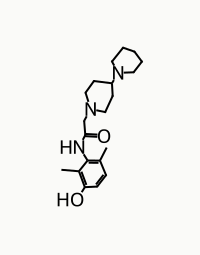 Cc1ccc(O)c(C)c1NC(=O)CN1CCC(N2CCCCC2)CC1